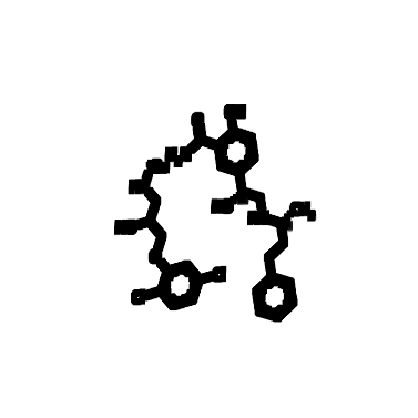 CC(C)(C)NCC(O)COc1cc(Cl)ccc1Cl.C[C@H](CCc1ccccc1)NC[C@H](O)c1ccc(O)c(C(N)=O)c1